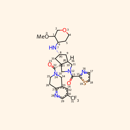 COC1COCCC1N[C@@H]1C[C@H]2CN(C(=O)c3nccs3)C[C@@]2(C(=O)N2CCc3ncc(C(F)(F)F)cc3C2)C1